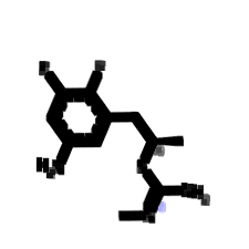 C/N=C(/N)S[C@H](C)Cc1cc(N)cc(F)c1F